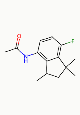 CC(=O)Nc1ccc(F)c2c1C(C)CC2(C)C